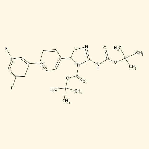 CC(C)(C)OC(=O)NC1=NCC(c2ccc(-c3cc(F)cc(F)c3)cc2)N1C(=O)OC(C)(C)C